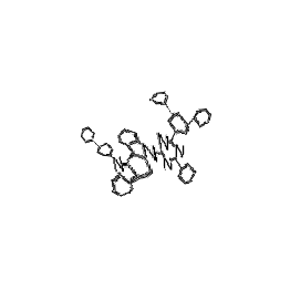 c1ccc(-c2ccc(-n3c4ccccc4c4ccc5c(c6ccccc6n5-c5nc(-c6ccccc6)nc(-c6cc(-c7ccccc7)cc(-c7ccccc7)c6)n5)c43)cc2)cc1